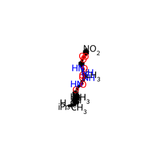 CC(C)CCC[C@@H](C)[C@H]1CC[C@H]2[C@@H]3CC=C4C[C@@H](OCCCNC(=O)CCC(=O)N[C@@H](C)C(=O)NCC(=O)Nc5ccc(COC(=O)Oc6ccc([N+](=O)[O-])cc6)cc5)CC[C@]4(C)[C@H]3CC[C@]12C